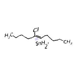 CCCC/C=C(\Cl)CCCC.[SnH2]